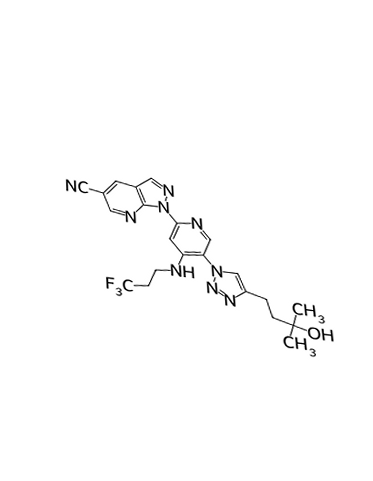 CC(C)(O)CCc1cn(-c2cnc(-n3ncc4cc(C#N)cnc43)cc2NCCC(F)(F)F)nn1